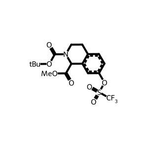 COC(=O)C1c2cc(OS(=O)(=O)C(F)(F)F)ccc2CCN1C(=O)OC(C)(C)C